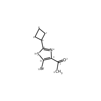 CC(=O)c1nc(C2CCC2)sc1Br